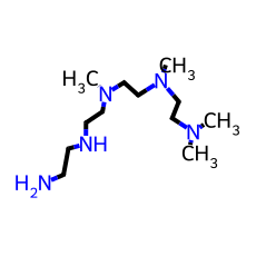 CN(C)CCN(C)CCN(C)CCNCCN